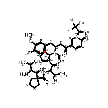 CC(C)C(N)C(=O)C1(C(=O)NC(C(=O)N2CCCC2N(C=O)C(CC(=O)c2ccc3nnc(C(F)(F)F)n3c2)Cc2cc(F)c(F)cc2F)C(C)C)CCCC1.Cl